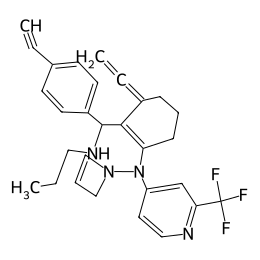 C#Cc1ccc(C(NCCC)C2=C(N(c3ccnc(C(F)(F)F)c3)N3C=CC3)CCCC2=C=C)cc1